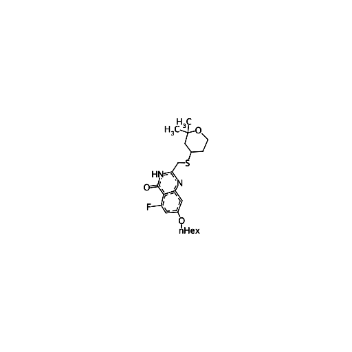 CCCCCCOc1cc(F)c2c(=O)[nH]c(CSC3CCOC(C)(C)C3)nc2c1